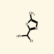 CCCC(CC)c1ncc(C)o1